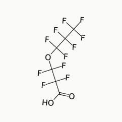 O=C(O)C(F)(F)C(F)(F)OC(F)(F)C(F)(F)C(F)(F)F